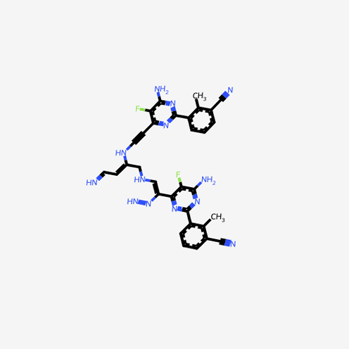 Cc1c(C#N)cccc1-c1nc(N)c(F)c(C#CN/C(=C\C=N)CN/C=C(\N=N)c2nc(-c3cccc(C#N)c3C)nc(N)c2F)n1